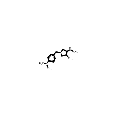 CNC1CN(Cc2ccc(N(C)C)cc2)CC1C